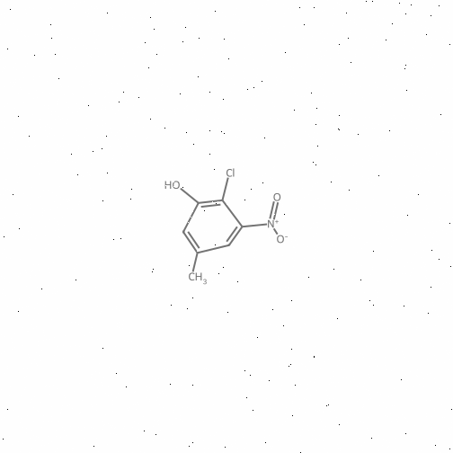 Cc1cc(O)c(Cl)c([N+](=O)[O-])c1